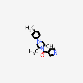 Cc1ccc(N2C[C@@H](C)N(C(=O)c3ccncc3)[C@@H](C)C2)cc1